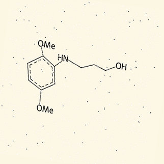 COc1ccc(OC)c(NCCCO)c1